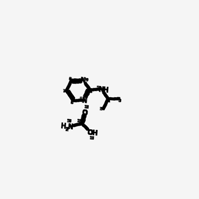 CC(C)Nc1ncccn1.NC(=O)O